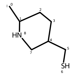 [CH]C1CCC(CS)CN1